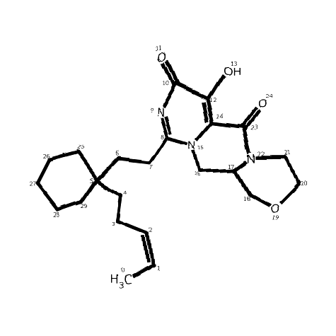 C/C=C\CCC1(CCc2nc(=O)c(O)c3n2CC2COCCN2C3=O)CCCCC1